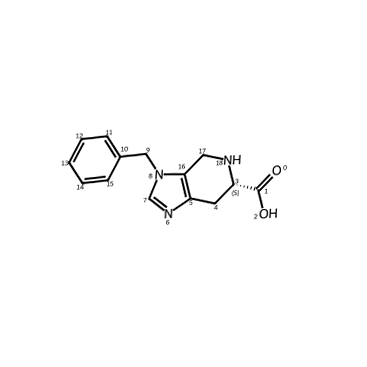 O=C(O)[C@@H]1Cc2ncn(Cc3ccccc3)c2CN1